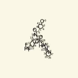 COc1ccc(CC(=O)N2CCCC(Oc3ccc(C(F)(F)F)cc3)(C(=O)NCN3CCN(c4ccccn4)CC3)C2)cc1